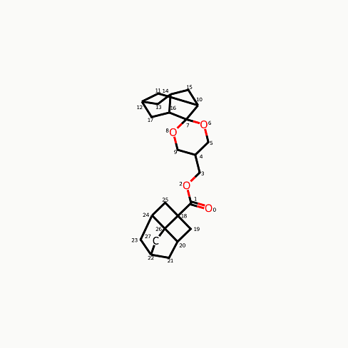 O=C(OCC1COC2(OC1)C1CC3CC(C1)C2C3)C12CC3CC4CC(C1)C32C4